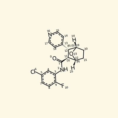 O=C(Nc1cc(Cl)ccc1F)[C@H]1[C@H](c2ccncc2)[C@@H]2CC[C@H]1O2